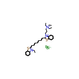 CCN1C(=CC=CC=CC=Cc2sc3ccccc3[n+]2CCC[N+](CC)(CC)CC)Sc2ccccc21.[Br-].[Br-]